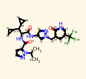 CC(C)n1nccc1C(=O)NC(C(=O)Nc1cnn(Cc2cc(C(F)(F)F)c[nH]c2=O)c1)C(C1CC1)C1CC1